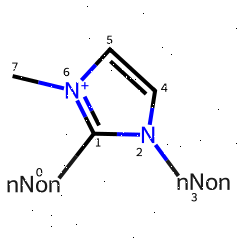 CCCCCCCCCc1n(CCCCCCCCC)cc[n+]1C